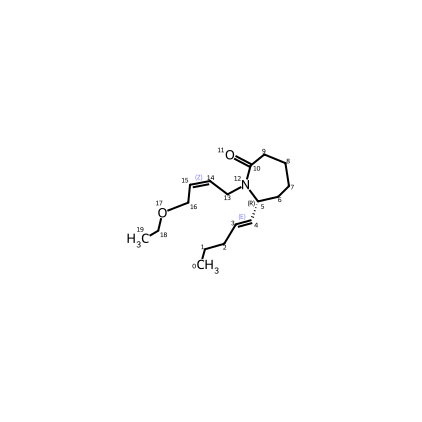 CCC/C=C/[C@H]1CCCCC(=O)N1C/C=C\COCC